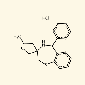 CCCC1(CC)CSc2ccccc2C(c2ccccc2)N1.Cl